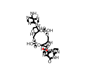 CC(C)(C)[Si](C)(C)OC1[C@H]2OP(=O)(O)OC[C@H]3OC[C@@](F)(n4cnc5c(N)ncnc54)[C@@H]3OP(=O)(O)OC[C@H]1O[C@H]2n1cnc2c(=O)[nH]c3nccn3c21